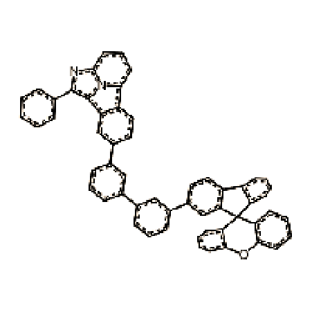 c1ccc(-c2nc3cccc4c5ccc(-c6cccc(-c7cccc(-c8ccc9c(c8)C8(c%10ccccc%10Oc%10ccccc%108)c8ccccc8-9)c7)c6)cc5c2n34)cc1